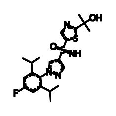 CC(C)c1cc(F)cc(C(C)C)c1-n1cc(S(=N)(=O)c2cnc(C(C)(C)O)s2)cn1